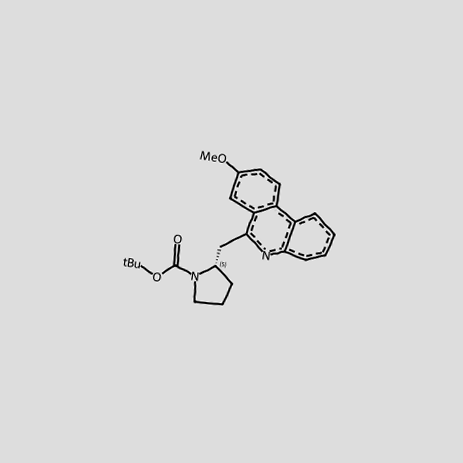 COc1ccc2c(c1)c(C[C@@H]1CCCN1C(=O)OC(C)(C)C)nc1ccccc12